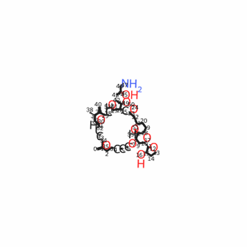 C=C1CC2CCCOC3C[C@H](C4OCC[C@H]4O)OC4CCC(CC(=O)CC5[C@H](CC6O[C@@H](CCC1O2)C[C@@H](C)C6=C)O[C@H](CC(O)CN)[C@@H]5OC)O[C@H]34